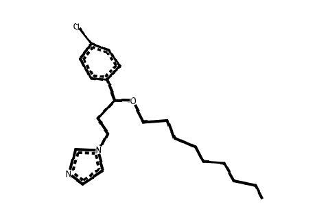 CCCCCCCCCOC(CCn1ccnc1)c1ccc(Cl)cc1